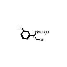 CCOC(=O)N[C@H](CO)c1cccc(C(F)(F)F)c1